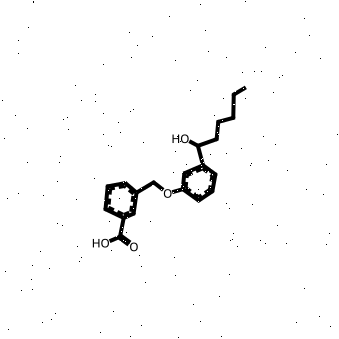 CCCCCC(O)c1cccc(OCc2cccc(C(=O)O)c2)c1